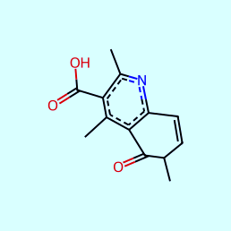 Cc1nc2c(c(C)c1C(=O)O)C(=O)C(C)C=C2